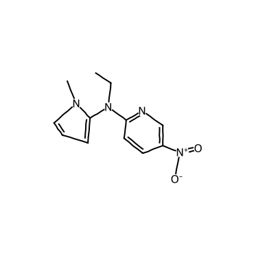 CCN(c1ccc([N+](=O)[O-])cn1)c1cccn1C